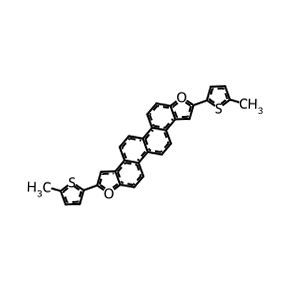 Cc1ccc(-c2cc3c(ccc4c3ccc3c5ccc6oc(-c7ccc(C)s7)cc6c5ccc43)o2)s1